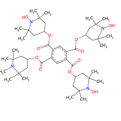 CN1C(C)(C)CC(OC(=O)c2cc(C(=O)OC3CC(C)(C)N(O)C(C)(C)C3)c(C(=O)OC3CC(C)(C)N(O)C(C)(C)C3)cc2C(=O)OC2CC(C)(C)N(O)C(C)(C)C2)CC1(C)C